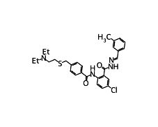 CCN(CC)CCSCc1ccc(C(=O)Nc2ccc(Cl)cc2C(=O)N/N=C/c2cccc(C)c2)cc1